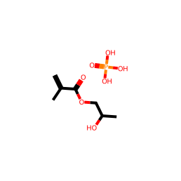 C=C(C)C(=O)OCC(C)O.O=P(O)(O)O